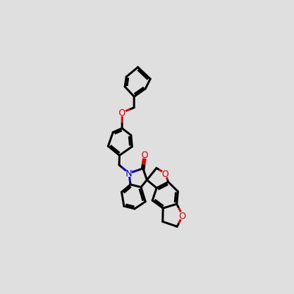 O=C1N(Cc2ccc(OCc3ccccc3)cc2)c2ccccc2C12COc1cc3c(cc12)CCO3